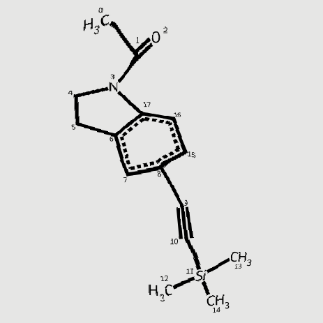 CC(=O)N1CCc2cc(C#C[Si](C)(C)C)ccc21